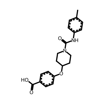 Cc1ccc(NC(=O)N2CCC(Oc3ccc(C(=O)O)cc3)CC2)cc1